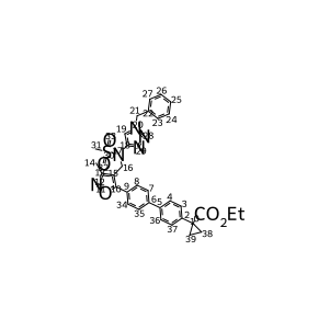 CCOC(=O)C1(c2ccc(-c3ccc(-c4onc(C)c4CN(c4cn(Cc5ccccc5)nn4)S(C)(=O)=O)cc3)cc2)CC1